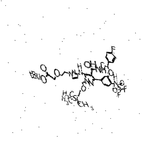 C[C@H](Oc1cc(-c2nn(COCC[Si](C)(C)C)c(Nc3ccn(CCOCC(=O)OC(C)(C)C)n3)c2C(N)=O)ccc1NS(=O)(=O)C(F)F)c1ccc(F)cc1